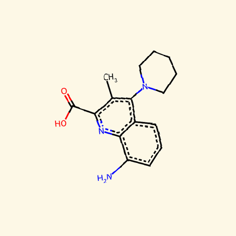 Cc1c(C(=O)O)nc2c(N)cccc2c1N1CCCCC1